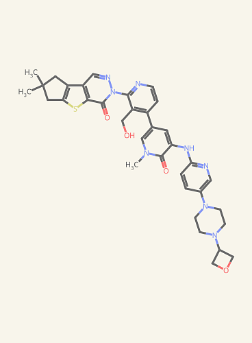 Cn1cc(-c2ccnc(-n3ncc4c5c(sc4c3=O)CC(C)(C)C5)c2CO)cc(Nc2ccc(N3CCN(C4COC4)CC3)cn2)c1=O